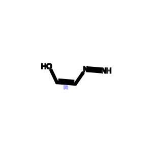 N=N/C=C\O